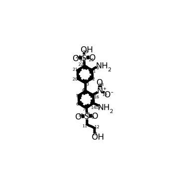 Nc1cc(-c2ccc(S(=O)(=O)CCO)c(N)c2[N+](=O)[O-])ccc1S(=O)(=O)O